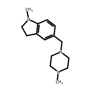 CN1CCN(Cc2ccc3c(c2)CCN3C)CC1